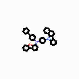 c1ccc(-c2ccc(N(c3ccc(-n4c5ccccc5c5ccc6ccccc6c54)cc3)c3cccc4c3oc3ccccc34)cc2)cc1